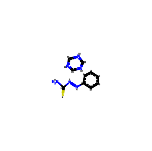 NC(=S)N=Nc1ccccc1.c1ncncn1